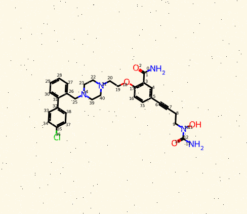 NC(=O)c1cc(C#CCCN(O)C(N)=O)ccc1OCCN1CCN(Cc2ccccc2-c2ccc(Cl)cc2)CC1